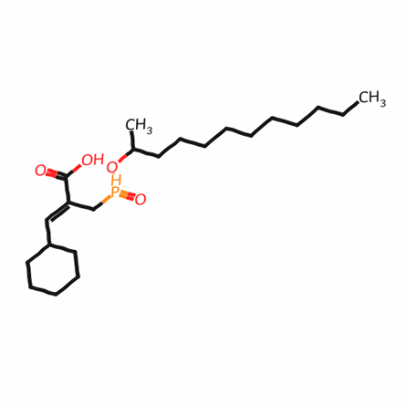 CCCCCCCCCCC(C)O[PH](=O)CC(=CC1CCCCC1)C(=O)O